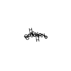 CC(C)OC(=O)c1ccc(NS(=O)(=O)c2ccc3[nH]c(-c4ccc(CNCc5ccccc5)cc4)nc3c2)cc1